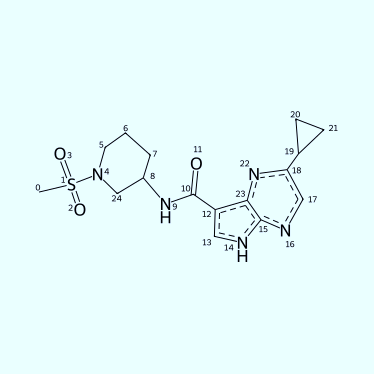 CS(=O)(=O)N1CCCC(NC(=O)c2c[nH]c3ncc(C4CC4)nc23)C1